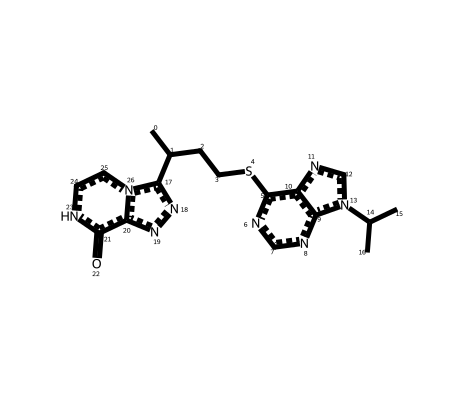 CC(CCSc1ncnc2c1ncn2C(C)C)c1nnc2c(=O)[nH]ccn12